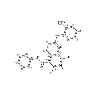 [CH2]c1nc(C)c2cc(Cc3ccccc3Cl)ccc2c1OCc1ccccc1